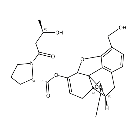 C[C@@H](O)CC(=O)N1CCC[C@H]1C(=O)OC1=CC[C@@]2(O)[C@H]3Cc4ccc(CO)c5c4C2(CCN3C)C1O5